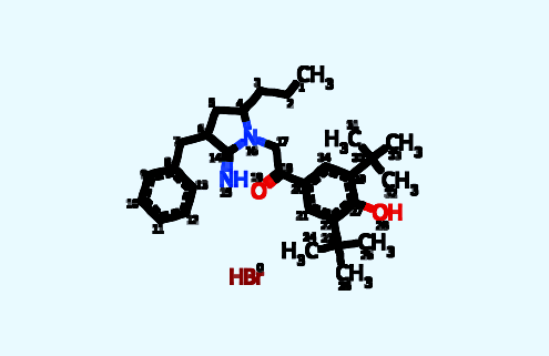 Br.CCCC1CC(Cc2ccccc2)C(=N)N1CC(=O)c1cc(C(C)(C)C)c(O)c(C(C)(C)C)c1